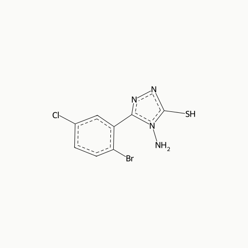 Nn1c(S)nnc1-c1cc(Cl)ccc1Br